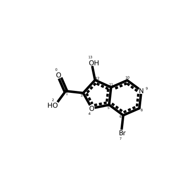 O=C(O)c1oc2c(Br)cncc2c1O